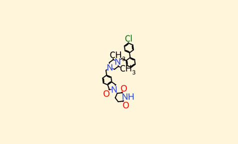 CC1CN(Cc2ccc3c(c2)CN(C2CCC(=O)NC2=O)C3=O)CC(C)N1Cc1ccccc1-c1ccc(Cl)cc1